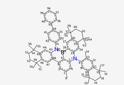 Cc1cc2c3c(c1)N(c1cc4c(cc1C)C(C)(C)CCC4(C)C)c1cc4c(cc1B3N(c1ccc(-c3ccccc3)cc1)c1cc3c(cc1-2)C(C)(C)CCC3(C)C)C(C)(C)CCC4(C)C